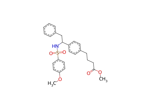 COC(=O)CCCc1ccc(C(Cc2ccccc2)NS(=O)(=O)c2ccc(OC)cc2)cc1